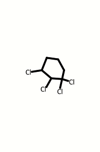 ClC1CCCC(Cl)(Cl)C1Cl